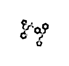 CN(C)CCN(Cc1cccs1)c1ccccn1.c1ccc(CN(CCN2CCCC2)c2ccccc2)cc1